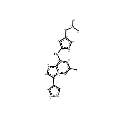 Cc1cn2c(-c3cn[nH]c3)cnc2c(Nc2cc(CN(C)C)cs2)n1